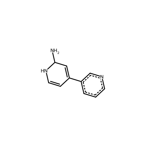 NC1C=C(c2cccnc2)C=CN1